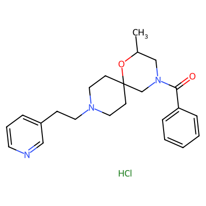 CC1CN(C(=O)c2ccccc2)CC2(CCN(CCc3cccnc3)CC2)O1.Cl